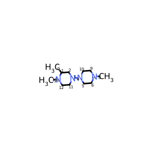 CC1CN(N2CCN(C)CC2)CCN1C